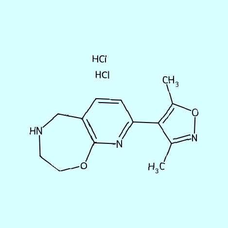 Cc1noc(C)c1-c1ccc2c(n1)OCCNC2.Cl.Cl